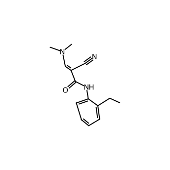 CCc1ccccc1NC(=O)C(C#N)=CN(C)C